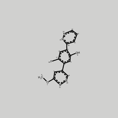 COc1cc(-c2cc(O)c(-c3cccnn3)cc2F)cnn1